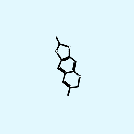 CC1=Cc2cc3c(cc2OC1)OC(C)O3